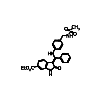 CCOC(=O)c1ccc2c(c1)NC(=O)C2=C(Nc1ccc(CNS(C)(=O)=O)cc1)c1ccccc1